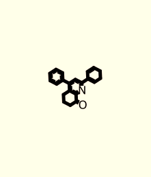 O=C1CCCc2c(-c3ccccc3)cc(C3=CCCC=C3)nc21